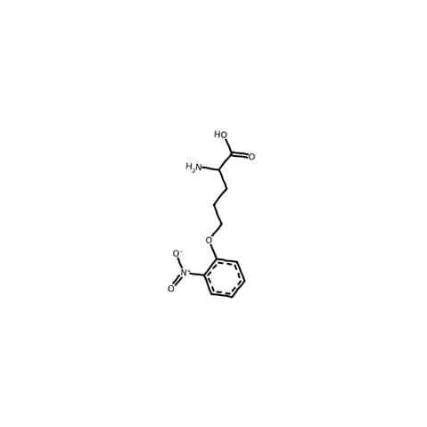 NC(CCCOc1ccccc1[N+](=O)[O-])C(=O)O